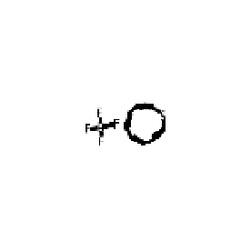 F[B-](F)(F)F.c1ccccsccc1